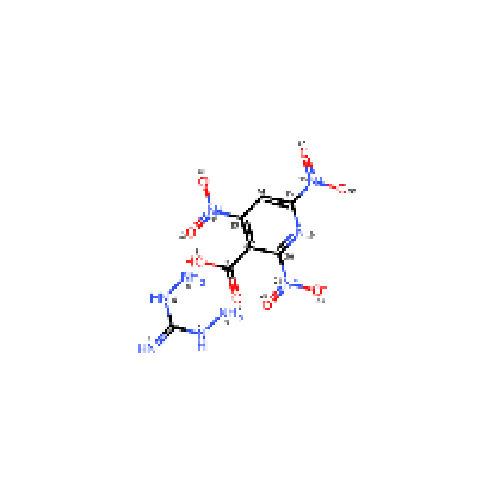 N=C(NN)NN.O=C(O)c1c([N+](=O)[O-])cc([N+](=O)[O-])nc1[N+](=O)[O-]